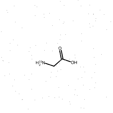 [15NH2]CC(=O)O